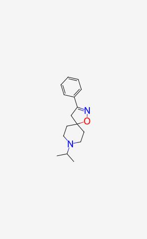 CC(C)N1CCC2(CC1)CC(c1ccccc1)=NO2